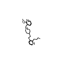 CCCCc1ncccc1CCC1CCN(Cc2cccnc2OC)CC1